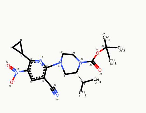 CC(C)[C@@H]1CN(c2nc(C3CC3)c([N+](=O)[O-])cc2C#N)CCN1C(=O)OC(C)(C)C